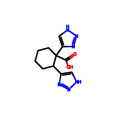 O=C(O)C1(c2c[nH]nn2)CCCCC1c1c[nH]nn1